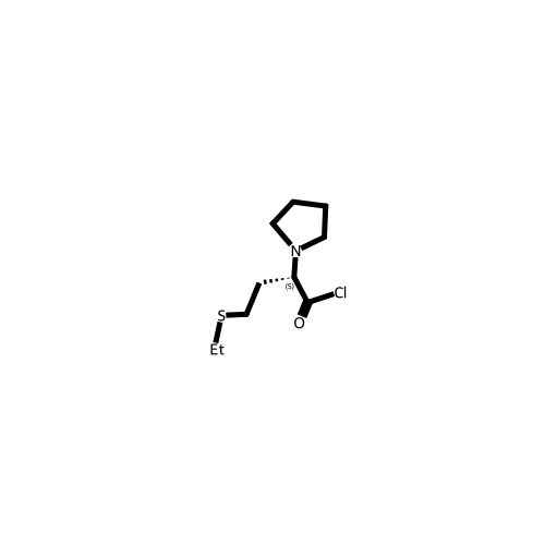 CCSCC[C@@H](C(=O)Cl)N1CCCC1